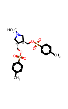 Cc1ccc(S(=O)(=O)OC[C@@H]2CN(C(=O)O)C[C@H]2COS(=O)(=O)c2ccc(C)cc2)cc1